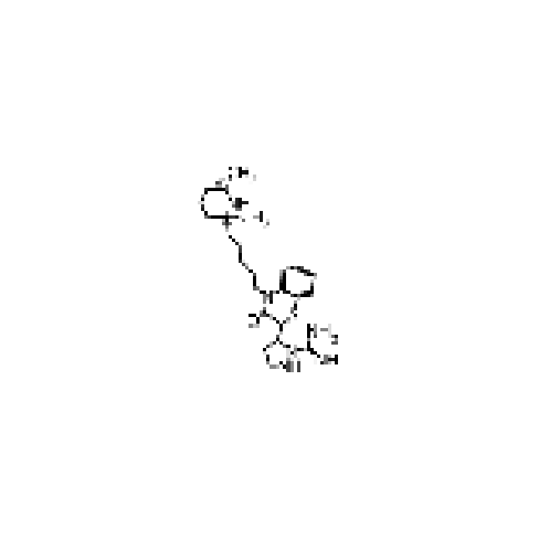 C[C@H]1CCC[C@@](C)(CCCCCN2C(=O)C(C3CCNN3C(=N)N)Sc3ccccc32)N1